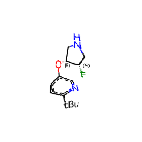 CC(C)(C)c1ccc(O[C@@H]2CNC[C@@H]2F)cn1